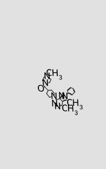 Cc1nnc(N2CCC(C(=O)N3CCN(C)CC3)CC2)c2nn(-c3ccccc3)c(C)c12